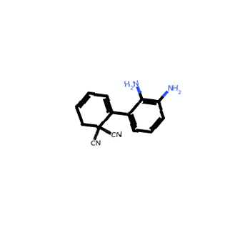 N#CC1(C#N)CC=CC=C1c1cccc(N)c1N